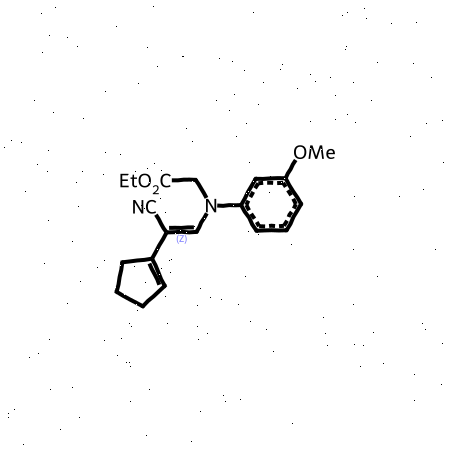 CCOC(=O)CN(/C=C(\C#N)C1=CCCC1)c1cccc(OC)c1